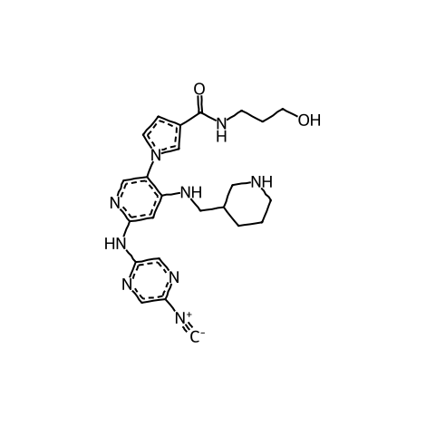 [C-]#[N+]c1cnc(Nc2cc(NCC3CCCNC3)c(-n3ccc(C(=O)NCCCO)c3)cn2)cn1